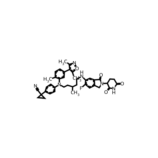 Cc1ccc(-c2c(C)noc2C)cc1N(CCC(C)CCNc1cc2c(cc1F)CN(C1CCC(=O)NC1=O)C2=O)c1ccc(C2(C#N)CC2)cc1